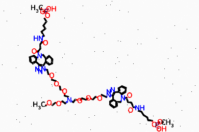 CCOCCOCCN(CCOCCOCCOCCn1nnc2c1-c1ccccc1CN(C(=O)CCC(=O)NCCCCCCOP(O)OC)c1ccccc1-2)CCOCCOCCOCCn1nnc2c1-c1ccccc1CN(C(=O)CCC(=O)NCCCCCCOP(O)OC)c1ccccc1-2